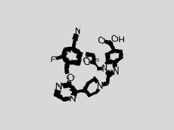 N#Cc1ccc(COc2nccnc2C2CCN(Cc3nc4ccc(C(=O)O)cc4n3C[C@@H]3CCO3)CC2)c(F)c1